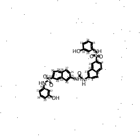 O=C(Nc1ccc2ccc(S(=O)(=O)Nc3cccc(O)c3)cc2c1)Nc1ccc2ccc(S(=O)(=O)Nc3cccc(O)c3)cc2c1